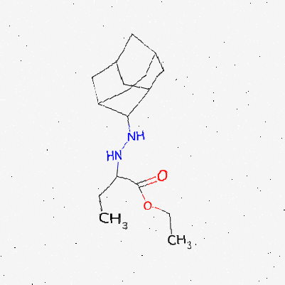 CCOC(=O)C(CC)NNC1C2CC3CC(C2)CC1C3